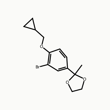 CC1(c2ccc(OCC3CC3)c(Br)c2)OCCO1